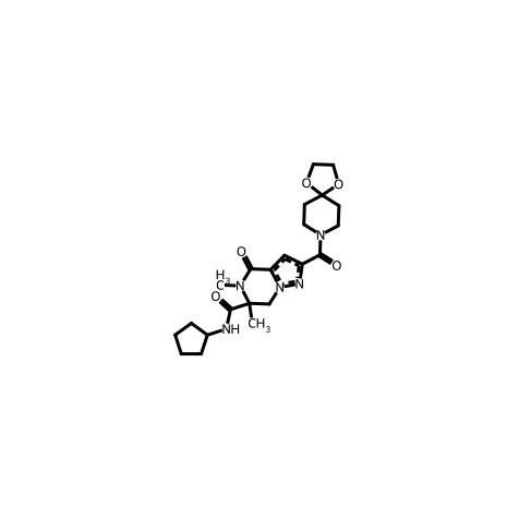 CN1C(=O)c2cc(C(=O)N3CCC4(CC3)OCCO4)nn2CC1(C)C(=O)NC1CCCC1